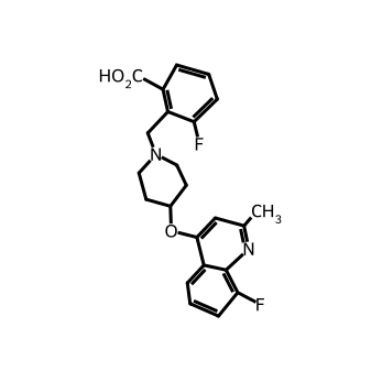 Cc1cc(OC2CCN(Cc3c(F)cccc3C(=O)O)CC2)c2cccc(F)c2n1